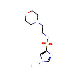 Cn1cnc(S(=O)(=O)NCCN2CCOCC2)c1